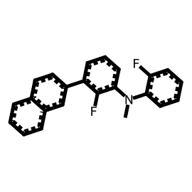 CN(c1ccccc1F)c1cccc(-c2ccc3ccccc3c2)c1F